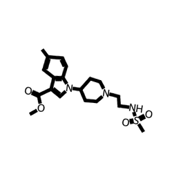 COC(=O)c1cn(C2CCN(CCNS(C)(=O)=O)CC2)c2ccc(C)cc12